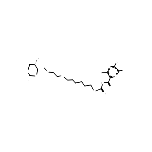 C[C@@H]1OC[C@@H](O)[C@H](CNCCOCCCCCCNC(=N)NC(=O)c2nc(Cl)c(N)nc2N)O1